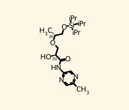 Cc1cnc(NC(=O)[C@@H](O)CO[C@H](C)CO[Si](C(C)C)(C(C)C)C(C)C)cn1